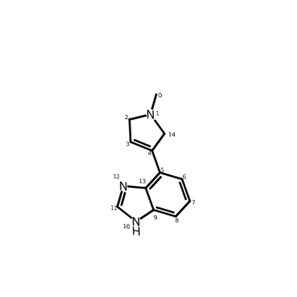 CN1CC=C(c2cccc3[nH]cnc23)C1